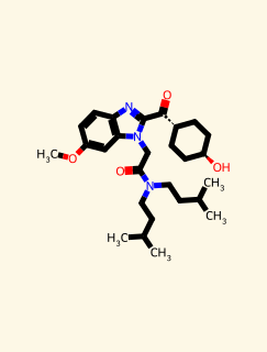 COc1ccc2nc(C(=O)[C@H]3CC[C@H](O)CC3)n(CC(=O)N(CCC(C)C)CCC(C)C)c2c1